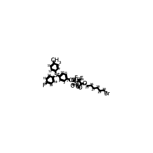 Cc1ccc([S+](c2ccc(C)cc2)c2ccc(F)cc2)cc1.O=C(OCCCCCCBr)C(F)(F)S(=O)(=O)[O-]